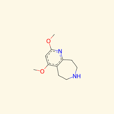 COc1cc(OC)c2c(n1)CCNCC2